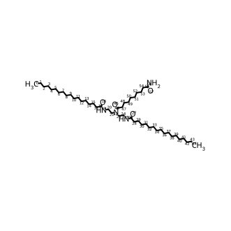 CCCCCCCCCCCCCCCCCC(=O)NCCN(CCNC(=O)CCCCCCCCCCCCCCCCC)C(=O)CCCCCCCCC(N)=O